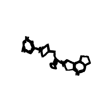 O=C(CC1CN(c2cncnc2)C1)N1Cc2ncc3c(c2C1)CCC3